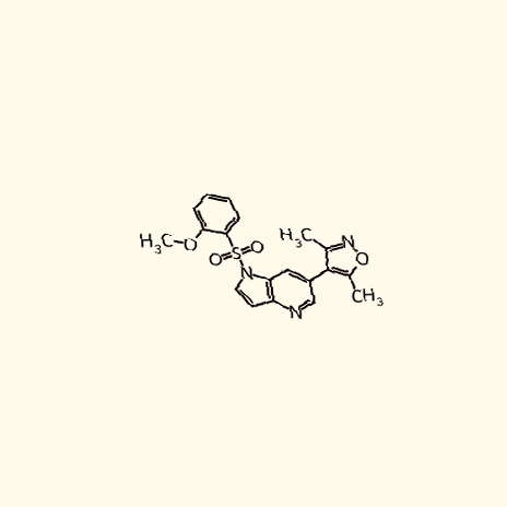 COc1ccccc1S(=O)(=O)n1ccc2ncc(-c3c(C)noc3C)cc21